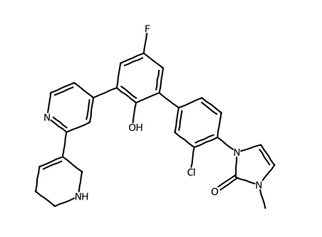 Cn1ccn(-c2ccc(-c3cc(F)cc(-c4ccnc(C5=CCCNC5)c4)c3O)cc2Cl)c1=O